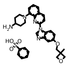 CC1(COc2ccc3c(c2)ncn3-c2ccc3cccc(N4CCC(N)CC4)c3n2)COC1.O=S(=O)(O)c1ccccc1